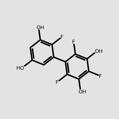 Oc1cc(O)c(F)c(-c2c(F)c(O)c(F)c(O)c2F)c1